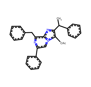 CC(=O)Oc1c(C(C)c2ccccc2)nc2c(Cc3ccccc3)nc(-c3ccccc3)cn12